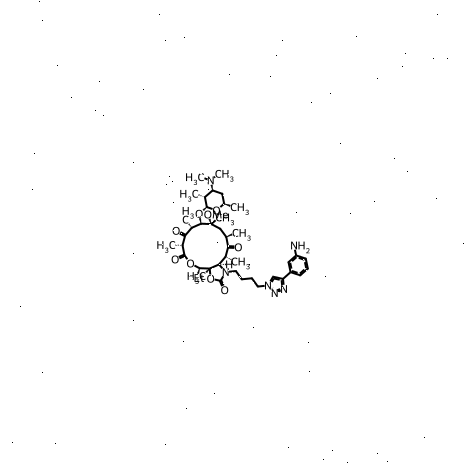 CC[C@H]1OC(=O)[C@H](C)C(=O)[C@H](C)[C@@H](O[C@@H]2O[C@H](C)C[C@H](N(C)C)[C@H]2C)[C@@](C)(OC)C[C@@H](C)C(=O)[C@H](C)[C@H]2N(CCCCn3cc(-c4cccc(N)c4)nn3)C(=O)O[C@]12C